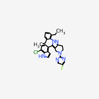 CCc1cccc(CC)c1-n1nc2c(c1-c1ccc(Cl)c3[nH]ccc13)CN(c1ncc(F)cn1)CC2